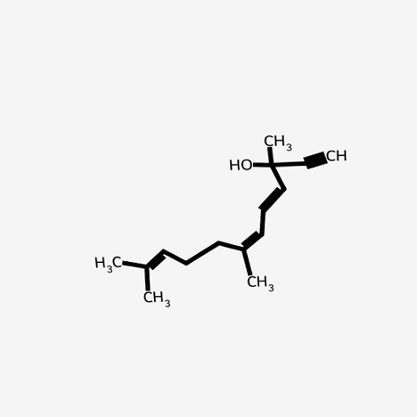 C#CC(C)(O)C=CC=C(C)CCC=C(C)C